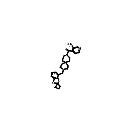 Nc1cnccc1C(=O)N1CCC2(CCN(Cc3cccc4c3OC3(CCC3)O4)CC2)CC1